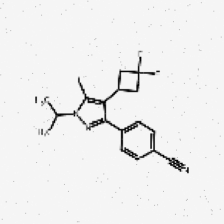 CC(C)n1nc(-c2ccc(C#N)cc2)c(C2CC(F)(F)C2)c1I